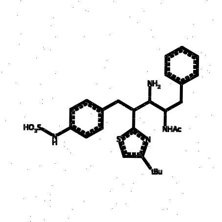 CC(=O)NC(Cc1ccccc1)C(N)C(Cc1ccc(NS(=O)(=O)O)cc1)c1nc(C(C)(C)C)cs1